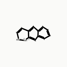 C1=Cc2cc3ccccc3cc2NN1